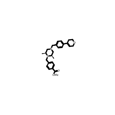 COC(=O)c1ccc(CN2[C@H](C)CN(Cc3ccc(C4=CCOCC4)cc3)C[C@@H]2C)cc1